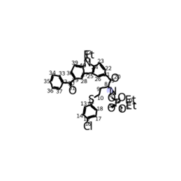 CCOP(=O)(OCC)O/N=C(\CCSc1ccc(Cl)cc1)C(=O)c1ccc2c(c1)c1cc(C(=O)c3ccccc3)ccc1n2CC